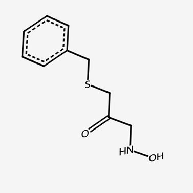 O=C(CNO)CSCc1ccccc1